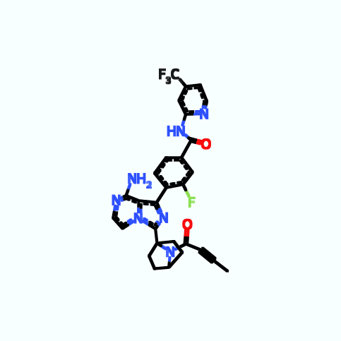 CC#CC(=O)N1C2CCC1(c1nc(-c3ccc(C(=O)Nc4cc(C(F)(F)F)ccn4)cc3F)c3c(N)nccn13)CC2